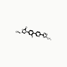 Cn1nnc(-c2ccc(-c3ccc(N4C[C@H](CN=O)OC4=O)cc3F)cn2)n1